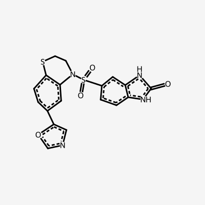 O=c1[nH]c2ccc(S(=O)(=O)N3CCSc4ccc(-c5cnco5)cc43)cc2[nH]1